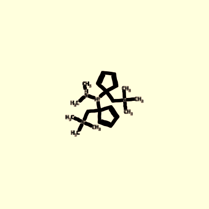 C[SiH](C)[Hf]([C]1(C[Si](C)(C)C)C=CC=C1)[C]1(C[Si](C)(C)C)C=CC=C1